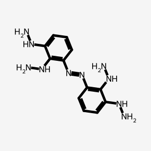 NNc1cccc(N=Nc2cccc(NN)c2NN)c1NN